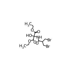 CCOC(=O)C(O)(NC(=O)C(CBr)CBr)C(=O)OCC